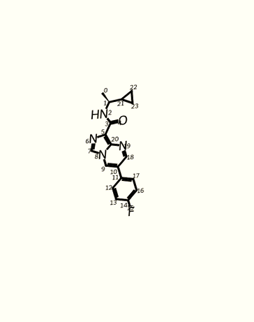 C[C@H](NC(=O)c1ncn2cc(-c3ccc(F)cc3)cnc12)C1CC1